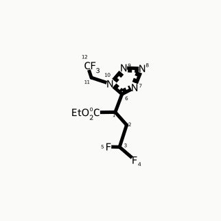 CCOC(=O)C(CC(F)F)c1nnnn1CC(F)(F)F